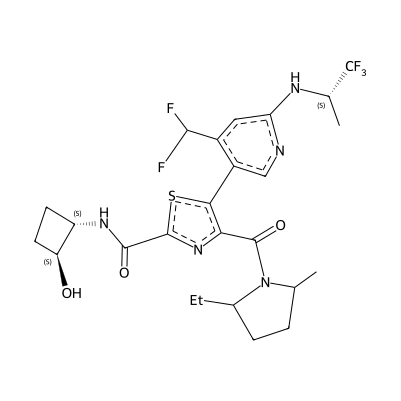 CCC1CCC(C)N1C(=O)c1nc(C(=O)N[C@H]2CC[C@@H]2O)sc1-c1cnc(N[C@@H](C)C(F)(F)F)cc1C(F)F